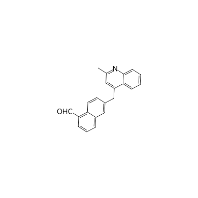 Cc1cc(Cc2ccc3c(C=O)cccc3c2)c2ccccc2n1